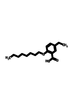 CCCCCCCCOc1ccc(CC)cc1C(=O)O